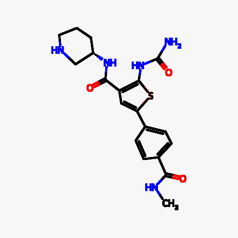 CNC(=O)c1ccc(-c2cc(C(=O)N[C@H]3CCCNC3)c(NC(N)=O)s2)cc1